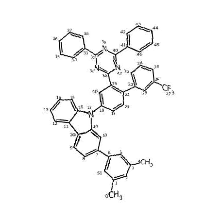 Cc1cc(C)cc(-c2ccc3c4ccccc4n(-c4ccc(-c5cccc(C(F)(F)F)c5)c(-c5nc(-c6ccccc6)nc(-c6ccccc6)n5)c4)c3c2)c1